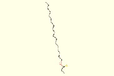 CCCCCCCCCCCCCCCCCCOC(=S)CC